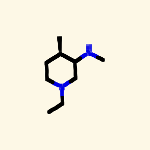 CCN1CC[C@@H](C)C(NC)C1